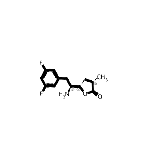 C[C@H]1C[C@@H]([C@@H](N)Cc2cc(F)cc(F)c2)OC1=O